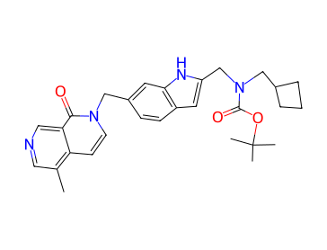 Cc1cncc2c(=O)n(Cc3ccc4cc(CN(CC5CCC5)C(=O)OC(C)(C)C)[nH]c4c3)ccc12